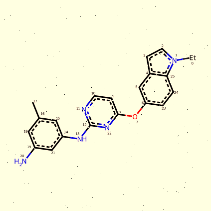 CCn1ccc2cc(Oc3ccnc(Nc4cc(C)cc(N)c4)n3)ccc21